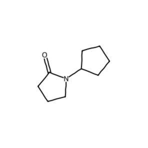 O=C1CCCN1C1CCCC1